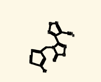 Nc1nonc1-c1noc(=O)n1Cc1cccc(Br)c1